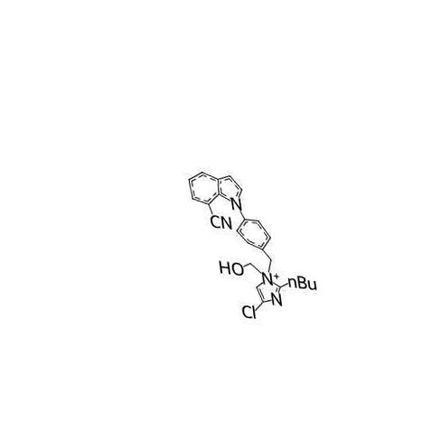 CCCCC1=NC(Cl)=C[N+]1(CO)Cc1ccc(-n2ccc3cccc(C#N)c32)cc1